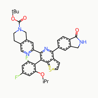 CC(C)Oc1cc(F)cc(F)c1-c1c(-c2cc3c(cn2)CCN(C(=O)OC(C)(C)C)C3)nc(-c2ccc3c(c2)CNC3=O)c2ccsc12